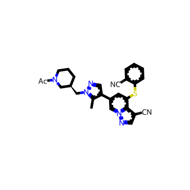 CC(=O)N1CCC[C@@H](Cn2ncc(-c3cc(Sc4ccccc4C#N)c4c(C#N)cnn4c3)c2C)C1